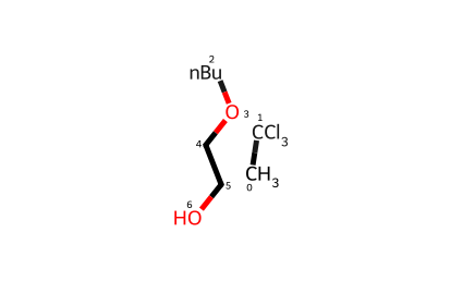 CC(Cl)(Cl)Cl.CCCCOCCO